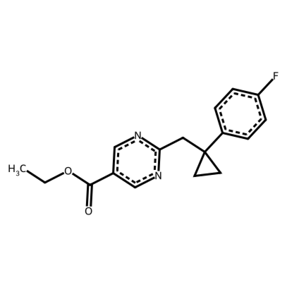 CCOC(=O)c1cnc(CC2(c3ccc(F)cc3)CC2)nc1